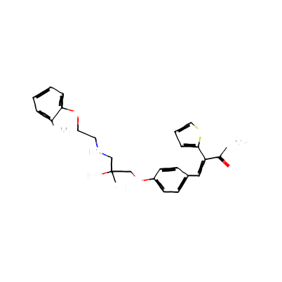 COC(=O)/C(=C/c1ccc(OCC(C)(O)CNCCOc2ccccc2OC)cc1)c1cccs1